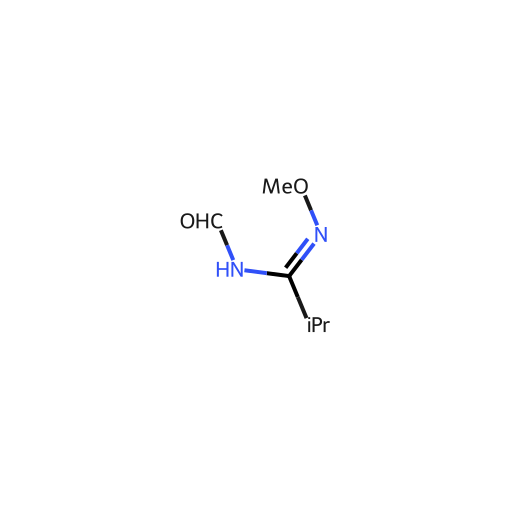 CO/N=C(\NC=O)C(C)C